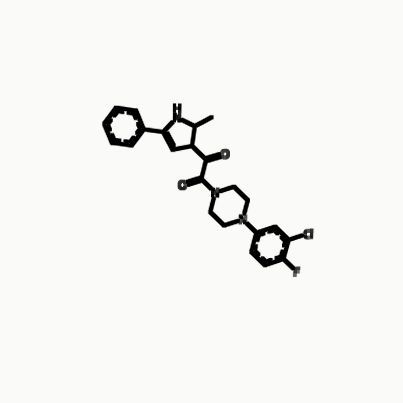 CC1NC(c2ccccc2)=CC1C(=O)C(=O)N1CCN(c2ccc(F)c(Cl)c2)CC1